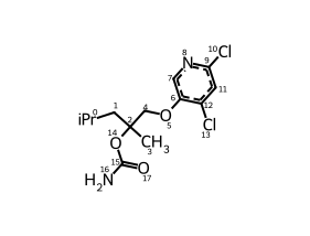 CC(C)CC(C)(COc1cnc(Cl)cc1Cl)OC(N)=O